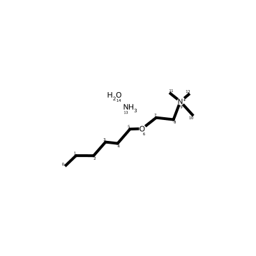 CCCCCCOCC[N+](C)(C)C.N.O